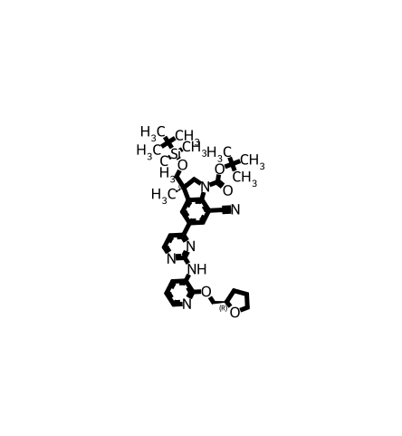 CC(C)(C)OC(=O)N1C[C@](C)(CO[Si](C)(C)C(C)(C)C)c2cc(-c3ccnc(Nc4cccnc4OC[C@H]4CCCO4)n3)cc(C#N)c21